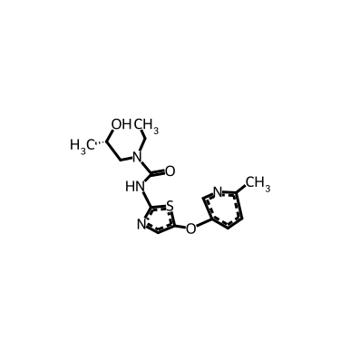 CCN(C[C@H](C)O)C(=O)Nc1ncc(Oc2ccc(C)nc2)s1